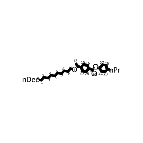 CCCCCCCCCCCCCCCCCCCCOC(C)c1ccc(C(=O)Oc2ccc(CCC)cc2)cc1